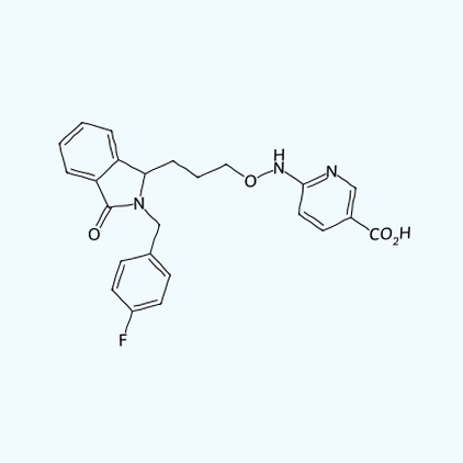 O=C(O)c1ccc(NOCCCC2c3ccccc3C(=O)N2Cc2ccc(F)cc2)nc1